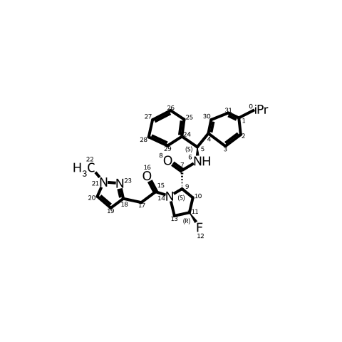 CC(C)c1ccc([C@@H](NC(=O)[C@@H]2C[C@@H](F)CN2C(=O)Cc2ccn(C)n2)c2ccccc2)cc1